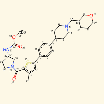 Cc1cc(-c2ccc(C3CCN(CC4CCCOC4)CC3)cc2)sc1C(=O)N1CC[C@H](NC(=O)OC(C)(C)C)C1